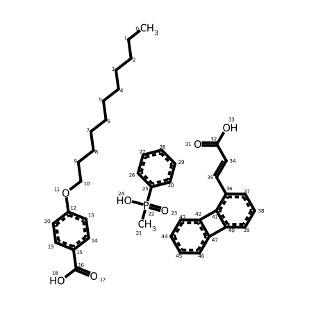 CCCCCCCCCCCOc1ccc(C(=O)O)cc1.CP(=O)(O)c1ccccc1.O=C(O)C=Cc1cccc2c1-c1ccccc1-2